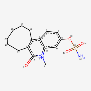 Cn1c(=O)c2c(c3ccc(OS(N)(=O)=O)cc31)CCCCCC2